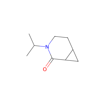 CC(C)N1CCC2CC2C1=O